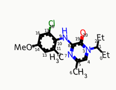 CCC(CC)n1cc(C)nc(Nc2c(C)cc(OC)cc2Cl)c1=O